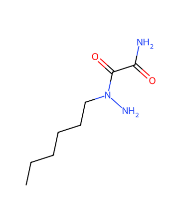 CCCCCCN(N)C(=O)C(N)=O